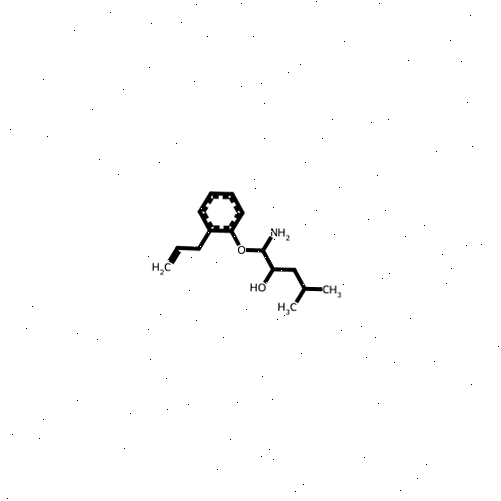 C=CCc1ccccc1OC(N)C(O)CC(C)C